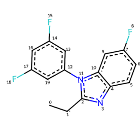 C[CH]c1nc2ccc(F)cc2n1-c1cc(F)cc(F)c1